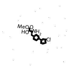 COC(=O)[C@@H](O)[C@H](N)Cc1ccc(-c2cccc(Cl)c2)cc1